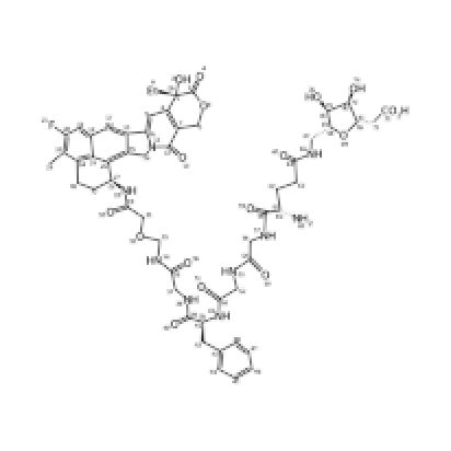 CC[C@@]1(O)C(=O)OCc2c1cc1n(c2=O)Cc2c-1nc1cc(F)c(C)c3c1c2[C@@H](NC(=O)COCNC(=O)CNC(=O)[C@H](Cc1ccccc1)NC(=O)CNC(=O)CNC(=O)[C@@H](N)CCC(=O)NC[C@H]1O[C@@H](CC(=O)O)[C@H](O)[C@@H]1O)CC3